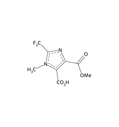 COC(=O)c1nc(C(F)(F)F)n(C)c1C(=O)O